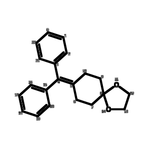 c1ccc(C(=C2CCC3(CC2)OCCO3)c2ccccc2)cc1